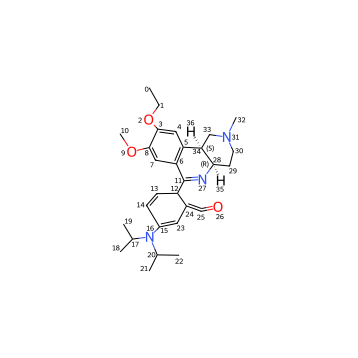 CCOc1cc2c(cc1OC)C(C1C=CC(N(C(C)C)C(C)C)=CC1=C=O)=N[C@@H]1CCN(C)C[C@H]21